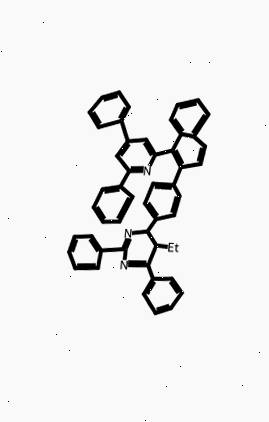 CCC1C(c2ccccc2)=NC(c2ccccc2)=NC1c1ccc(-c2ccc3ccccc3c2-c2cc(-c3ccccc3)cc(-c3ccccc3)n2)cc1